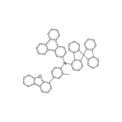 Cc1cc(-c2cccc3c2oc2ccccc23)ccc1N(c1ccc2c3ccccc3c3ccccc3c2c1)c1cccc2c1-c1ccccc1C21c2ccccc2-c2ccccc21